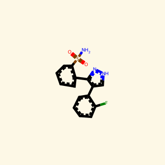 NS(=O)(=O)c1ccccc1-c1n[nH]cc1-c1ccccc1F